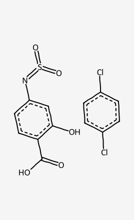 Clc1ccc(Cl)cc1.O=C(O)c1ccc(N=S(=O)=O)cc1O